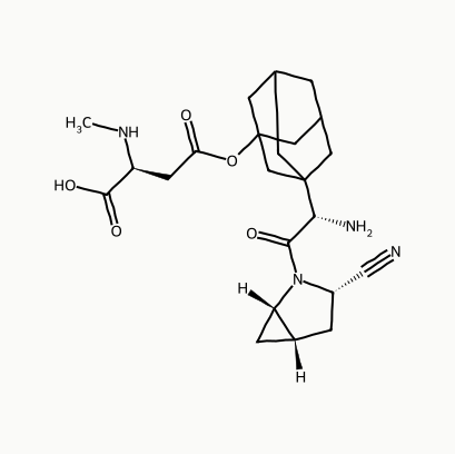 CN[C@@H](CC(=O)OC12CC3CC(C1)CC([C@H](N)C(=O)N1[C@H](C#N)C[C@@H]4C[C@@H]41)(C3)C2)C(=O)O